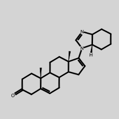 C[C@]12CCC(=O)CC1=CCC1C2CC[C@]2(C)C(N3C=NC4CCCC[C@@H]43)=CCC12